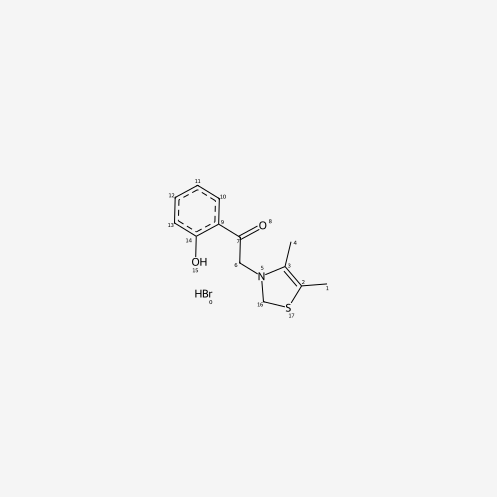 Br.CC1=C(C)N(CC(=O)c2ccccc2O)CS1